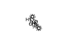 CC1(C)CC(=O)N(C(CS)Cc2ccccc2)C(=O)N1Cc1ccccc1